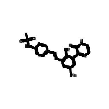 CC(C)(C)c1cc(C=Cc2ccc(NS(C)(=O)=O)cc2)c(O)c(-c2ncc[nH]c2=O)c1